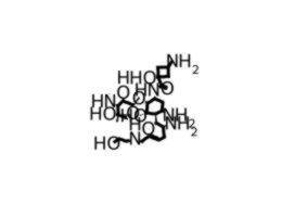 CN[C@@H]1[C@@H](O)[C@@H](O[C@@H]2[C@@H](O)[C@H](C3OC(CNCCO)=CC[C@H]3N)[C@@H](N)C[C@H]2NC(=O)C2(O)CC(N)C2)OC[C@]1(C)O